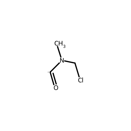 CN([C]=O)CCl